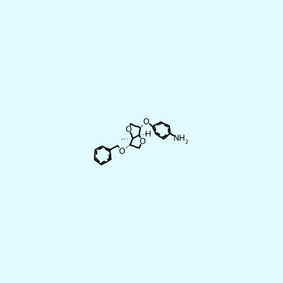 C[C@]12OC[C@H](Oc3ccc(N)cc3)[C@H]1OC[C@@H]2OCc1ccccc1